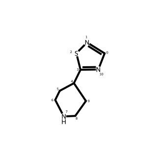 c1nsc(C2CCNCC2)n1